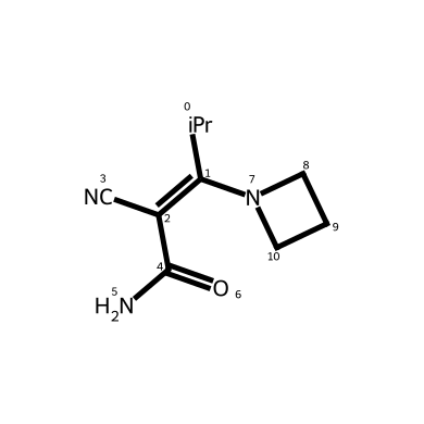 CC(C)C(=C(C#N)C(N)=O)N1CCC1